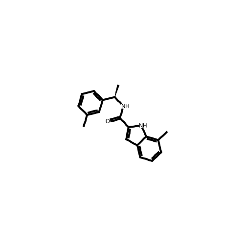 Cc1cccc([C@@H](C)NC(=O)c2cc3cccc(C)c3[nH]2)c1